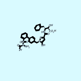 CCCc1cc(C(=O)N[C@H](Cc2ccccc2)[C@@H](O)C(=O)O)nn1Cc1ccc(-c2ccccc2S(=O)(=O)N(N)C(=O)C(C)C)cc1